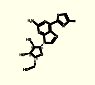 Cc1csc(-c2nc(N)nc3c2ncn3[C@@H]2O[C@H](CO)[C@@H](O)[C@H]2O)n1